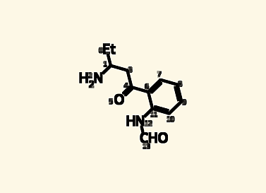 CCC(N)CC(=O)c1ccccc1NC=O